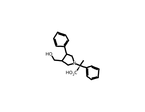 C[C@](C(=O)O)(c1ccccc1)N1CC(CO)C(c2ccccc2)C1